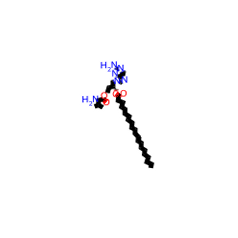 CCCCCCCC/C=C/CCCCCCCCCCCC(=O)OC[C@H](CCOC(=O)[C@@H](N)C(C)C)Cn1cnc2cnc(N)nc21